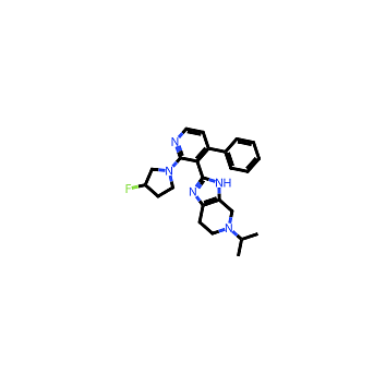 CC(C)N1CCc2nc(-c3c(-c4ccccc4)ccnc3N3CCC(F)C3)[nH]c2C1